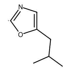 CC(C)Cc1cn[c]o1